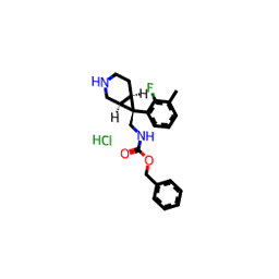 Cc1cccc([C@@]2(CNC(=O)OCc3ccccc3)[C@@H]3CCNC[C@@H]32)c1F.Cl